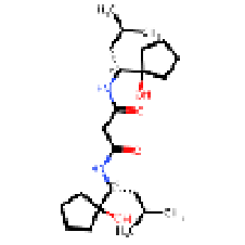 CC(C)C[C@@H](NC(=O)CC(=O)N[C@H](CC(C)C)C1(O)CCCC1)C1(O)CCCC1